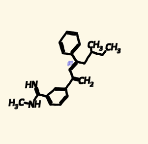 C=C(/C=C(\CC(C)CC)c1ccccc1)c1cccc(C(=N)NC)c1